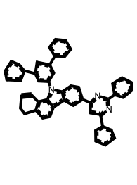 C1#Cc2c(ccc3c4cc(-c5cc(-c6ccccc6)nc(-c6ccccc6)n5)ccc4n(-c4cc(-c5ccccc5)cc(-c5ccccc5)c4)c23)CC1